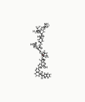 Cc1c(-c2ccc(-c3ccc4c(c3)N(C(=O)Nc3nc5ccccc5s3)CCC4)nc2C(=O)O)cnn1CC12CC3(C)CC(C)(C1)CC(OCCN(CCS(=O)(=O)O)C(=O)OCc1ccc(NC(=O)[C@H](CCCNC(N)=O)NC(=O)[C@@H](N)C(C)C)cc1)(C3)C2